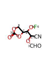 N#CC(OC=O)C(OF)C1COC(=O)O1